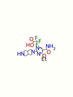 CCOc1nc(N2CC3CNCC3C2)ncc1C(N)=O.O=C(O)C(F)(F)F